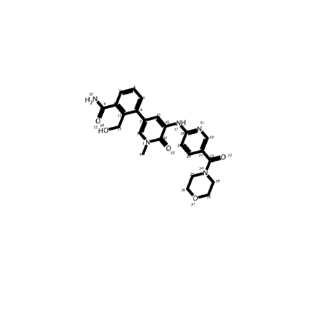 Cn1cc(-c2cccc(C(N)=O)c2CO)cc(Nc2ccc(C(=O)N3CCOCC3)cn2)c1=O